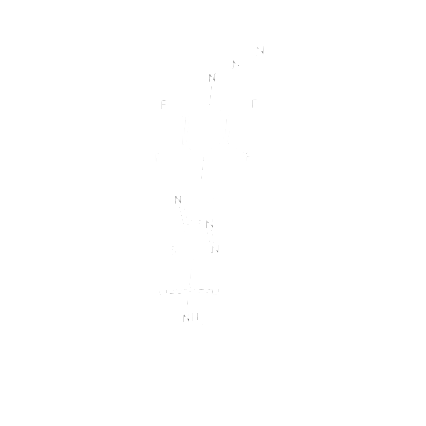 [N-]=[N+]=Nc1c(F)c(F)c(-c2cn3nc(S(N)(=O)=O)sc3n2)c(F)c1F